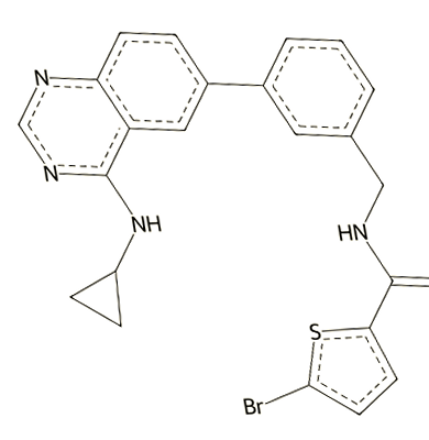 O=C(NCc1cccc(-c2ccc3ncnc(NC4CC4)c3c2)c1)c1ccc(Br)s1